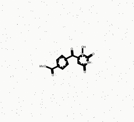 COC(=O)c1ccc(C(=O)c2cc(=O)[nH]c(=O)n2O)cc1